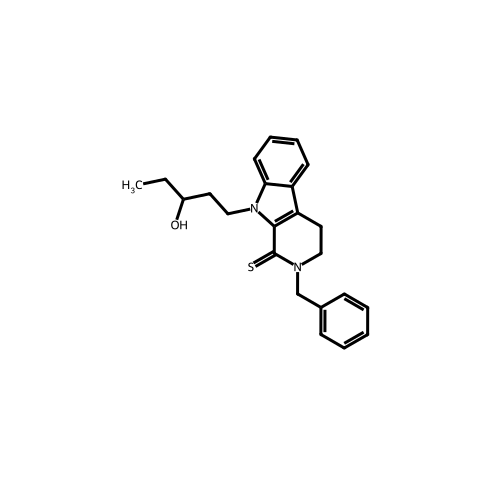 CCC(O)CCn1c2c(c3ccccc31)CCN(Cc1ccccc1)C2=S